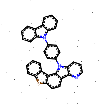 c1ccc2c(c1)sc1ccc3c4ncccc4n(-c4ccc(-n5c6ccccc6c6ccccc65)cc4)c3c12